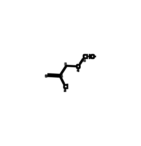 C=C(Cl)CO[C]=O